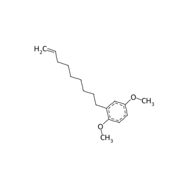 C=CCCCCCCCc1cc(OC)ccc1OC